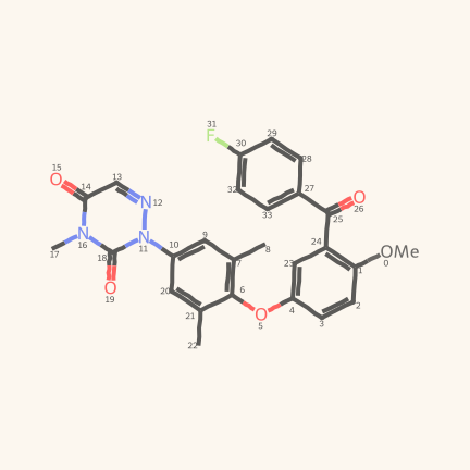 COc1ccc(Oc2c(C)cc(-n3ncc(=O)n(C)c3=O)cc2C)cc1C(=O)c1ccc(F)cc1